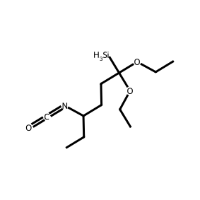 CCOC([SiH3])(CCC(CC)N=C=O)OCC